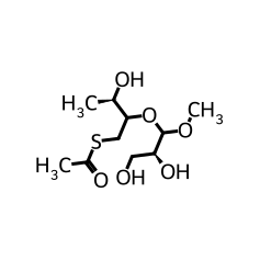 COC(OC(CSC(C)=O)[C@@H](C)O)[C@@H](O)CO